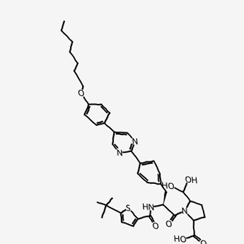 CCCCCCCOc1ccc(-c2cnc(-c3ccc(C[C@H](NC(=O)c4ccc(C(C)(C)C)s4)C(=O)N4C(C(=O)O)CCC4C(O)O)cc3)nc2)cc1